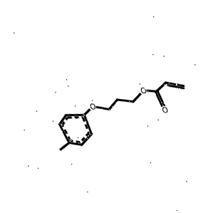 C=CC(=O)OCCCOc1ccc(C)cc1